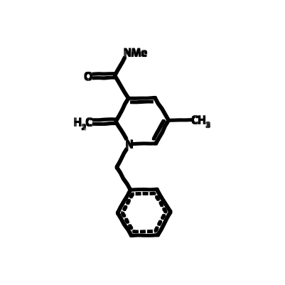 C=C1C(C(=O)NC)=CC(C)=CN1Cc1ccccc1